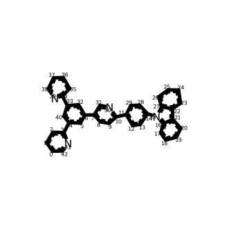 c1ccc(-c2cc(-c3ccc(-c4ccc(-n5c6ccccc6c6ccccc65)cc4)nc3)cc(-c3ccccn3)c2)nc1